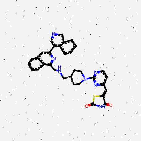 O=C1NC(=O)C(=Cc2ccnc(N3CCC(CNCc4nc(-c5cncc6ccccc56)cc5ccccc45)CC3)n2)S1